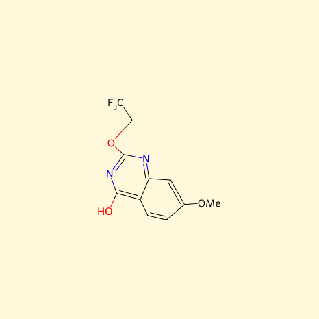 COc1ccc2c(O)nc(OCC(F)(F)F)nc2c1